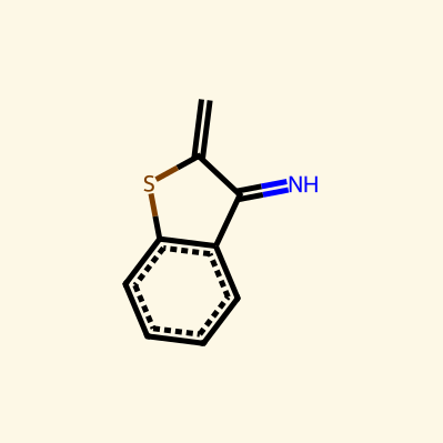 C=C1Sc2ccccc2C1=N